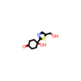 O=C1CCC(O)(c2ncc(CO)s2)CC1